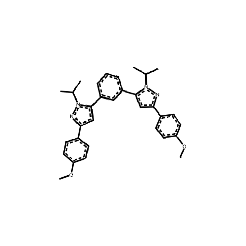 COc1ccc(-c2cc(-c3cccc(-c4cc(-c5ccc(OC)cc5)nn4C(C)C)c3)n(C(C)C)n2)cc1